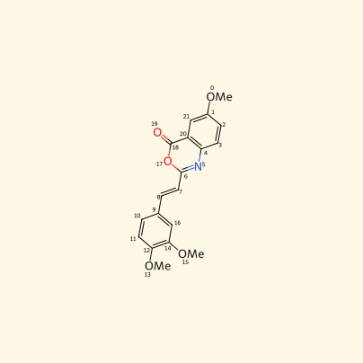 COc1ccc2nc(/C=C/c3ccc(OC)c(OC)c3)oc(=O)c2c1